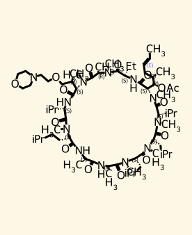 C/C=C/C[C@@H](C)[C@@H](OC(C)=O)[C@H]1C(=O)N[C@@H](CC)C(=O)N(C)[C@H](C)C(=O)N(C)[C@@H]([C@H](C)COCCN2CCOCC2)C(=O)N[C@@H](C(C)C)C(=O)N(C)[C@@H](CCC(C)C)C(=O)N[C@@H](C)C(=O)N[C@H](C)C(=O)N(C)[C@@H](CC(C)C)C(=O)N(C)[C@@H](CC(C)C)C(=O)N(C)[C@@H](C(C)C)C(=O)N1C